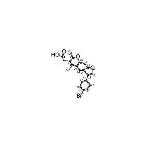 Cc1c(CC(=O)O)c(=O)oc2cc3occ(-c4ccc(Br)cc4)c3cc12